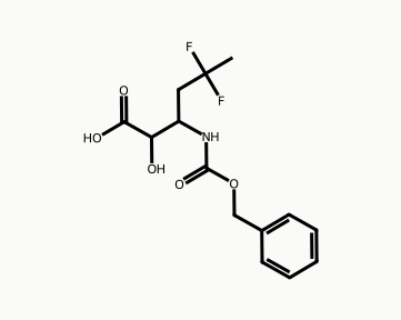 CC(F)(F)CC(NC(=O)OCc1ccccc1)C(O)C(=O)O